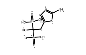 Nc1ncc(CC(O)(P(=O)(O)O)P(=O)(O)O)s1